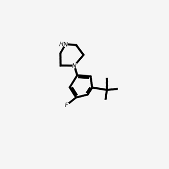 CC(C)(C)c1cc(F)cc(N2CCNCC2)c1